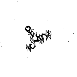 Cc1nonc1Cn1nnc2c(N3CCC4(C3)N=N4)nc(C(F)(F)c3ccccc3)nc21